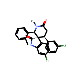 CCN1C(=O)C[C@@H](c2cccc(Cl)c2)[C@]2(C(=O)Nc3cc(Cl)ccc32)[C@H]1c1ccccc1C